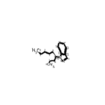 CCCCC[C@H](CCC)n1ncc2ccccc21